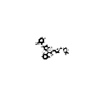 CC1(C)OC[C@@H](Cn2ccc(NC(=O)C(c3c(F)cccc3F)N3CC(Oc4ccccc4Cl)=CC3=O)n2)O1